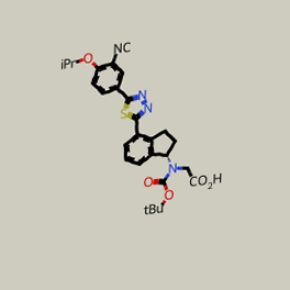 [C-]#[N+]c1cc(-c2nnc(-c3cccc4c3CC[C@@H]4N(CC(=O)O)C(=O)OC(C)(C)C)s2)ccc1OC(C)C